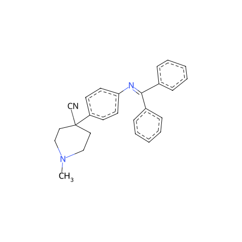 CN1CCC(C#N)(c2ccc(N=C(c3ccccc3)c3ccccc3)cc2)CC1